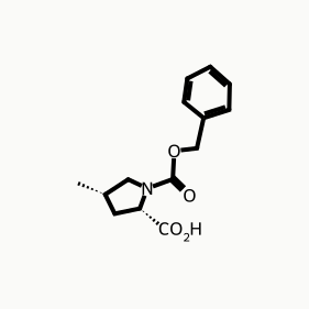 C[C@H]1C[C@@H](C(=O)O)N(C(=O)OCc2ccccc2)C1